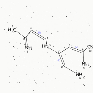 CC(=N)/C=C\NC(/C=C(\N)C#N)=C/N